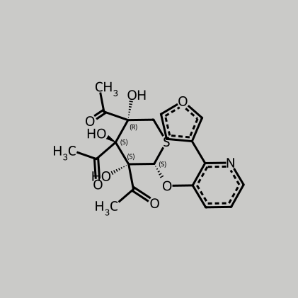 CC(=O)[C@]1(O)[C@@](O)(C(C)=O)CS[C@H](Oc2cccnc2-c2ccoc2)[C@@]1(O)C(C)=O